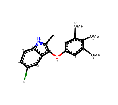 COc1cc(Oc2c(C)[nH]c3ccc(F)cc23)cc(OC)c1OC